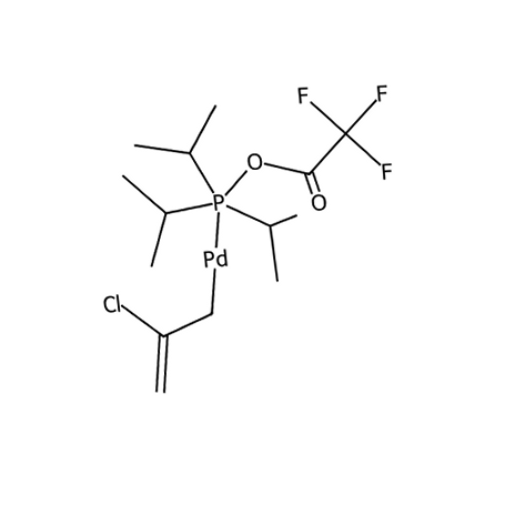 C=C(Cl)[CH2][Pd][P](OC(=O)C(F)(F)F)(C(C)C)(C(C)C)C(C)C